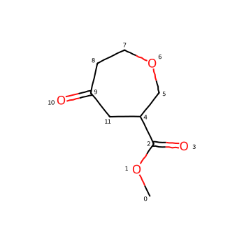 COC(=O)C1COCCC(=O)C1